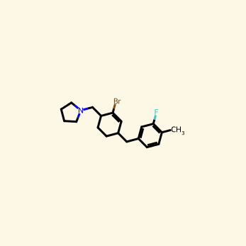 Cc1ccc(CC2C=C(Br)C(CN3CCCC3)CC2)cc1F